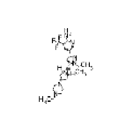 CCN1CCN([C@H]2C[C@@H]3[C@H](C2)[C@H]3c2cc(-c3cnc(N)c(C(F)(F)F)c3)nn2C(C)C)CC1